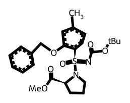 COC(=O)[C@@H]1CCCN1[S@](=O)(=NC(=O)OC(C)(C)C)c1ccc(C)cc1OCc1ccccc1